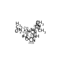 CC(=O)N1CCC2(CC1)CN(c1cc(Nc3cc(OC(F)F)ccn3)nc(-c3cn(C)nc3C)n1)C2